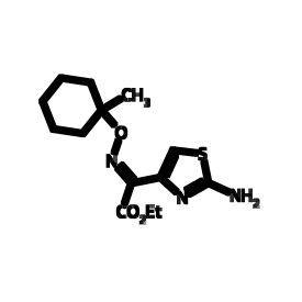 CCOC(=O)C(=NOC1(C)CCCCC1)c1csc(N)n1